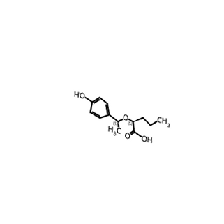 CCC[C@H](O[C@@H](C)c1ccc(O)cc1)C(=O)O